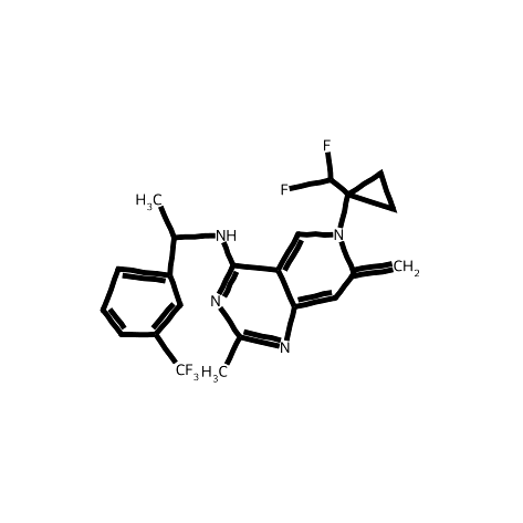 C=C1C=c2nc(C)nc(NC(C)c3cccc(C(F)(F)F)c3)c2=CN1C1(C(F)F)CC1